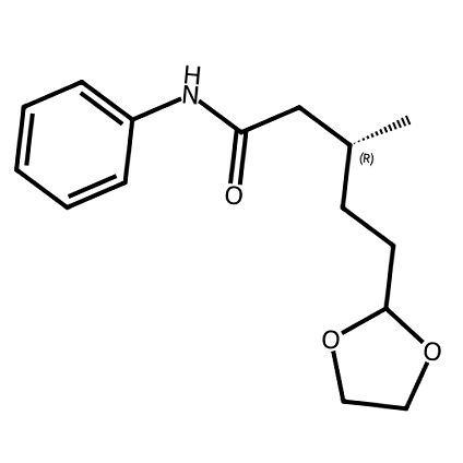 C[C@H](CCC1OCCO1)CC(=O)Nc1ccccc1